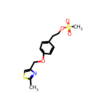 Cc1nc(COc2ccc(CCOS(C)(=O)=O)cc2)cs1